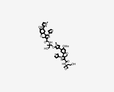 COc1cc2c(cc1-c1cc(OCC(C)(CO)NC(=O)c3nn(-c4ccsc4)c4c3COc3cc(OC)c(-c5ccn(C)n5)cc3-4)n(C)c1)-c1c(c(C(=O)NC3(CCO)COC3)nn1-c1ccsc1)CO2